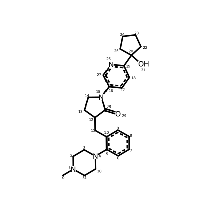 CN1CCN(c2ccccc2CC2CCN(c3ccc(C4(O)CCCC4)nc3)C2=O)CC1